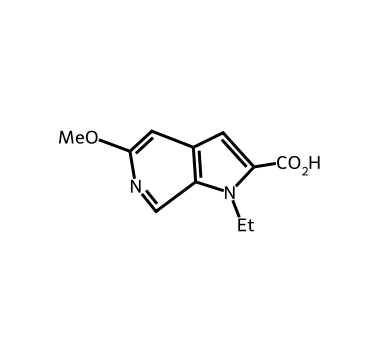 CCn1c(C(=O)O)cc2cc(OC)ncc21